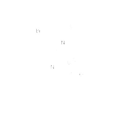 Cc1cc(C)c2nc(-c3cc(Br)cn3-c3c(Cl)cccc3Cl)oc(=O)c2c1